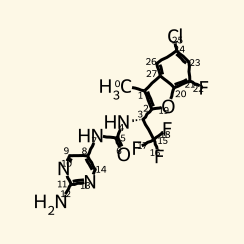 Cc1c([C@@H](NC(=O)Nc2cnc(N)nc2)C(F)(F)F)oc2c(F)cc(Cl)cc12